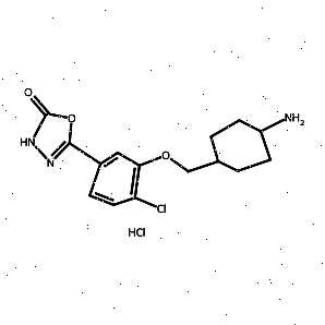 Cl.NC1CCC(COc2cc(-c3n[nH]c(=O)o3)ccc2Cl)CC1